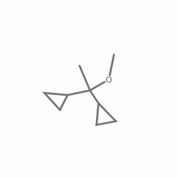 COC(C)(C1CC1)C1CC1